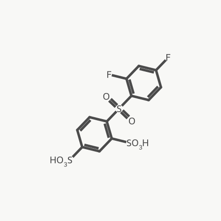 O=S(=O)(O)c1ccc(S(=O)(=O)c2ccc(F)cc2F)c(S(=O)(=O)O)c1